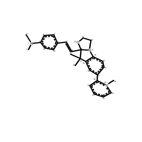 CN(C)c1ccc(C=CC23OCCN2c2ccc(-c4cccc[n+]4C)cc2C3(C)C)cc1